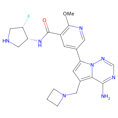 COc1ncc(-c2cc(CN3CCC3)c3c(N)ncnn23)cc1C(=O)N[C@@H]1CNC[C@@H]1F